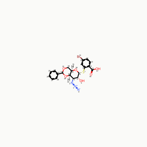 [N-]=[N+]=N[C@@H]1[C@@H](O)[C@@H](Sc2cc(Br)ccc2C(=O)O)O[C@@H]2COC(c3ccccc3)O[C@H]12